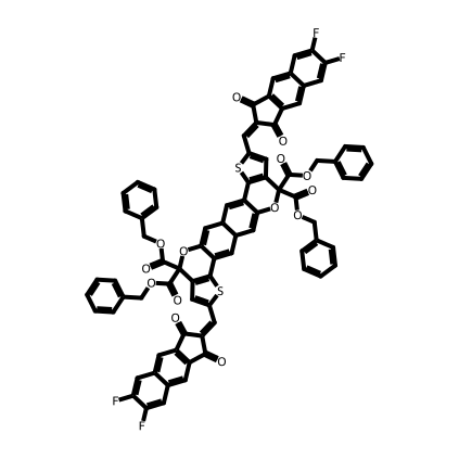 O=C1C(=Cc2cc3c(s2)C2=CC4C=C5OC(C(=O)OCc6ccccc6)(C(=O)OCc6ccccc6)c6cc(C=C7C(=O)c8cc9cc(F)c(F)cc9cc8C7=O)sc6C5=CC4C=C2OC3(C(=O)OCc2ccccc2)C(=O)OCc2ccccc2)C(=O)c2cc3cc(F)c(F)cc3cc21